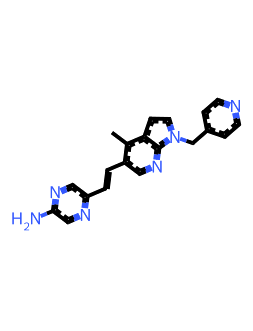 Cc1c(/C=C/c2cnc(N)cn2)cnc2c1ccn2Cc1ccncc1